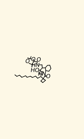 CCCCCCCCCCCC1(C(=O)NC2CCCCC2C(CNC(=O)C2OC(C)(C)OCC2(C)C)C(=O)O)CCC1